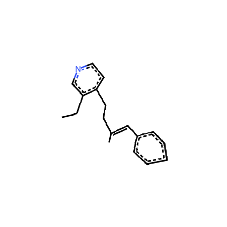 CCc1cnccc1CCC(C)=Cc1ccccc1